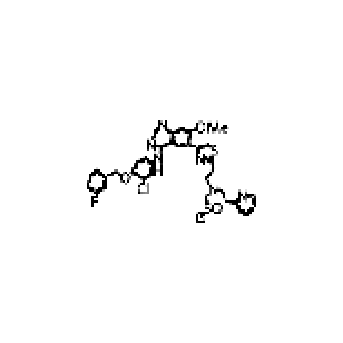 COc1cc2ncnc(Nc3ccc(OCc4cccc(F)c4)c(Cl)c3)c2cc1-c1csc(CCN(C=S(=O)=O)CCc2ccccn2)n1